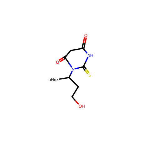 CCCCCCC(CCO)N1C(=O)CC(=O)NC1=S